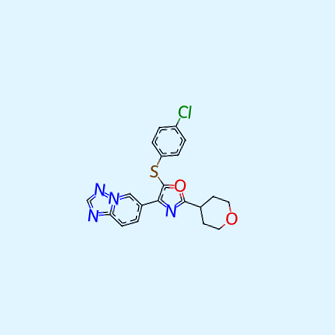 Clc1ccc(Sc2oc(C3CCOCC3)nc2-c2ccc3ncnn3c2)cc1